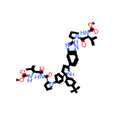 COC(=O)N[C@H](C(=O)NC(=O)[C@@H]1CCCN1c1ccc([C@@]2(c3ccc(C(C)(C)C)cc3)CC[C@@H](c3ccc4[nH]c([C@@H]5CCCN5C(=O)[C@@H](NC(=O)OC)C(C)C)nc4c3)N2)cc1)C(C)C